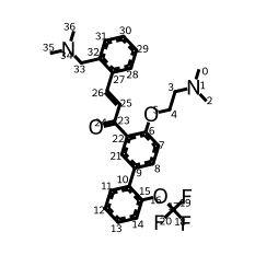 CN(C)CCOc1ccc(-c2ccccc2OC(F)(F)F)cc1C(=O)/C=C/c1ccccc1CN(C)C